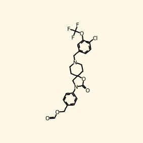 O=COCc1ccc(N2CC3(CCN(Cc4ccc(Cl)c(OC(F)(F)F)c4)CC3)OC2=O)cc1